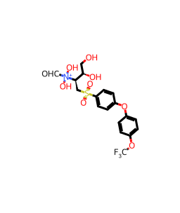 O=C[N+](O)(O)[C@H](CS(=O)(=O)c1ccc(Oc2ccc(OC(F)(F)F)cc2)cc1)[C@H](O)CO